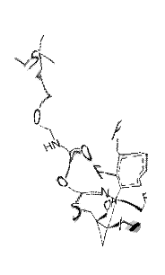 C[Si](C)(C)CCOCNC(=O)OC1=N[C@](CF)(c2cccc(F)c2F)[C@@H]2C[C@]2(CO)S1